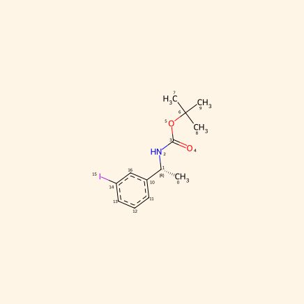 C[C@@H](NC(=O)OC(C)(C)C)c1cccc(I)c1